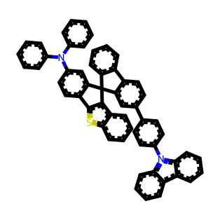 c1ccc(N(c2ccccc2)c2ccc3c(c2)C2(c4ccccc4-c4ccc(-c5ccc(-n6c7ccccc7c7ccccc76)cc5)cc42)c2c-3sc3ccccc23)cc1